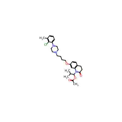 CC(=O)OC(C(C)C)N1C(=O)CCc2ccc(OCCCCN3CCN(c4cccc(C)c4Cl)CC3)cc21